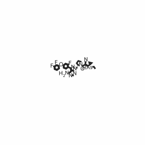 CC[AsH]C1(C=C(C#N)C(=O)N2CCC[C@H]2Cn2nc(-c3ccc(Oc4cccc(F)c4F)cc3F)c3c(N)ncnc32)CC1